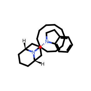 c1ccc2c(c1)CCN2[C@H]1C[C@H]2CCC[C@@H](C1)N2C1CCCCCCCCC1